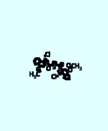 CCOc1cc2c(c3ccccc13)[C@H](CCl)CN2C(=O)c1ccc(C(=O)N2C[C@@H](CCl)c3c2cc(OC(C)=O)c2ccccc32)s1